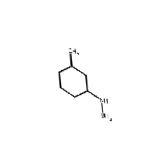 BNC1CCCC(C)C1